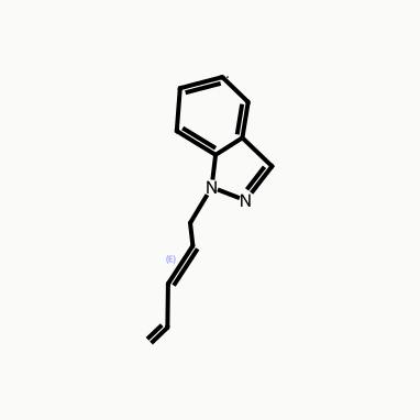 C=C/C=C/Cn1ncc2c[c]ccc21